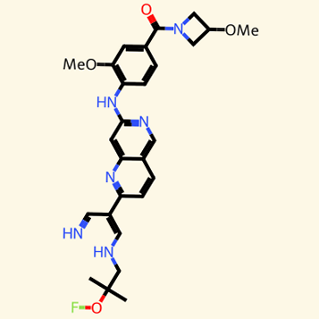 COc1cc(C(=O)N2CC(OC)C2)ccc1Nc1cc2nc(/C(C=N)=C/NCC(C)(C)OF)ccc2cn1